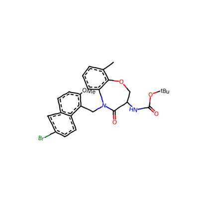 COc1ccc2cc(Br)ccc2c1CN1C(=O)C(NC(=O)OC(C)(C)C)COc2c(C)cccc21